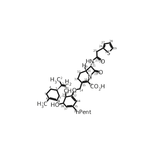 C=C(C)[C@@H]1CCC(C)=C[C@H]1C1(C)C(OCC2=C(C(=O)O)N3C(=O)[C@@H](NC(=O)Cc4cccs4)[C@H]3CC2)=CC(CCCCC)=CC1O